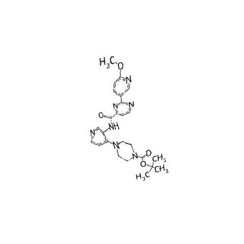 COc1ccc(-c2nccc(C(=O)Nc3cnccc3N3CCN(C(=O)OC(C)(C)C)CC3)n2)cn1